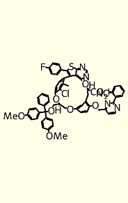 COc1ccc(C(OC[C@@H]2COc3ccc(OCc4ccnc(-c5ccccc5C#N)n4)c(c3)C[C@H](C(=O)O)Oc3ncnc4sc(-c5ccc(F)cc5)c(c34)-c3ccc(c(Cl)c3C)O2)(c2ccccc2)c2ccc(OC)cc2)cc1